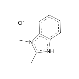 Cc1[nH]c2ccccc2[n+]1C.[Cl-]